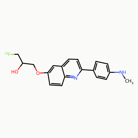 CNc1ccc(-c2ccc3cc(OCC(O)C[18F])ccc3n2)cc1